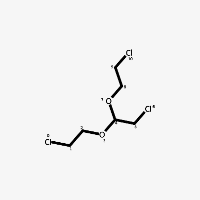 ClCCOC(CCl)OCCCl